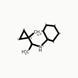 CC(NC1CCCCC1)C1(C)CC1